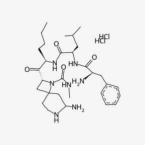 CCCC[C@@H](NC(=O)[C@@H](CC(C)C)NC(=O)[C@H](N)Cc1ccccc1)C(=O)[C@H]1CC2(CCNC(N)C2)N1C(=O)NC.Cl.Cl